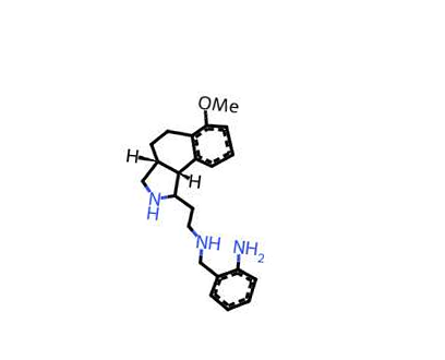 COc1cccc2c1CC[C@H]1CNC(CCNCc3ccccc3N)[C@@H]21